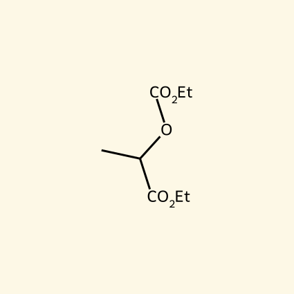 CCOC(=O)OC(C)C(=O)OCC